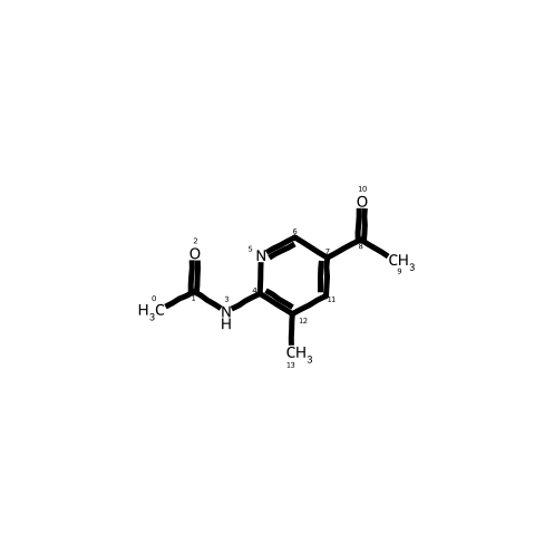 CC(=O)Nc1ncc(C(C)=O)cc1C